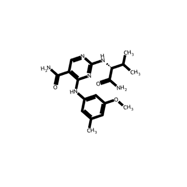 COc1cc(C)cc(Nc2nc(N[C@@H](C(N)=O)C(C)C)ncc2C(N)=O)c1